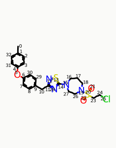 Cc1ccc(Oc2ccc(Cc3nsc(N4CCCN(S(=O)(=O)CCCl)CC4)n3)cc2)cc1